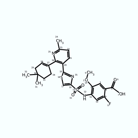 COc1cc(C(=O)O)c(F)cc1NS(=O)(=O)c1csc(-c2ccc(C)nc2C2=CCC(C)(C)CC2)n1